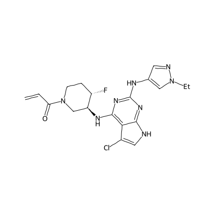 C=CC(=O)N1CC[C@H](F)[C@@H](Nc2nc(Nc3cnn(CC)c3)nc3[nH]cc(Cl)c23)C1